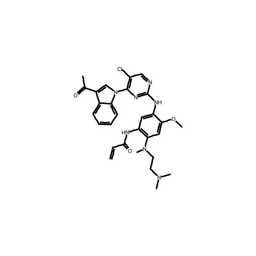 C=CC(=O)Nc1cc(Nc2ncc(Cl)c(-n3cc(C(C)=O)c4ccccc43)n2)c(OC)cc1N(C)CCN(C)C